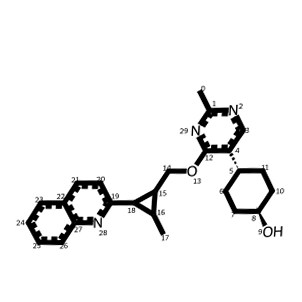 Cc1ncc([C@H]2CC[C@H](O)CC2)c(OCC2C(C)C2c2ccc3ccccc3n2)n1